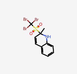 CC1(S(=O)(=O)C(Br)(Br)Br)C=Cc2ccccc2N1